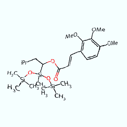 COc1ccc(/C=C/C(=O)OC(CC(C)C)[Si](C)(O[Si](C)(C)C)O[Si](C)(C)C)c(OC)c1OC